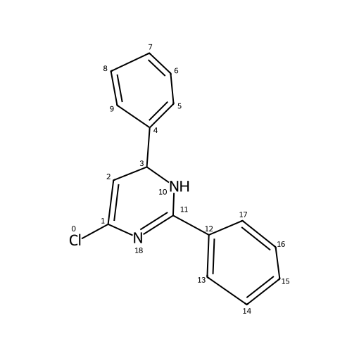 ClC1=CC(c2ccccc2)NC(c2ccccc2)=N1